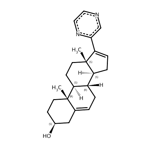 C[C@]12CC[C@H](O)CC1=CC[C@@H]1[C@@H]2CC[C@]2(C)C(c3cnccn3)=CC[C@@H]12